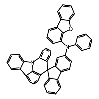 c1ccc(N(c2ccc3c(c2)C2(c4ccccc4-3)c3ccccc3-n3c4ccccc4c4cccc2c43)c2cccc3c2oc2ccccc23)cc1